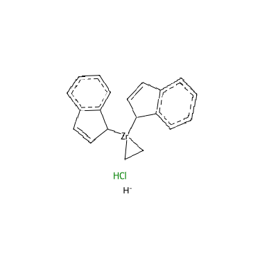 C1=C[CH]([Zr]2([CH]3C=Cc4ccccc43)[CH2][CH2]2)c2ccccc21.Cl.[H-]